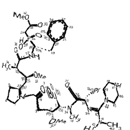 CC[C@H](C)[C@@H]([C@@H](CC(=O)N1CCC[C@H]1[C@H](OC)[C@@H](C)C(=O)N[C@@H](Cc1ccccc1)P(=O)(O)CC(=O)OC)OC)N(C)C(=O)[C@@H](N=C(N(C)C)N1CCNCC1)C(C)C